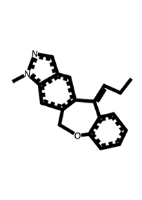 CCC=C1c2cc3cnn(C)c3cc2COc2ccccc21